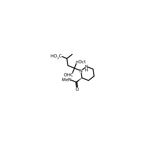 CCCCCCCCC(C=O)(CC(C)C(=O)O)N1NCCC[C@H]1C(=O)NC